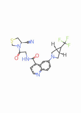 N#C[C@@H]1CSCN1C(=O)CNC(=O)c1ccnc2ccc(N3C[C@@H]4C(C(F)(F)F)[C@@H]4C3)cc12